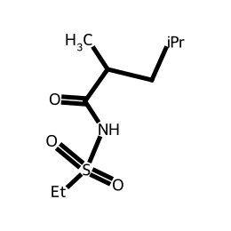 CCS(=O)(=O)NC(=O)C(C)CC(C)C